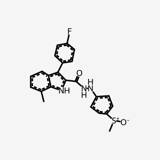 Cc1cccc2c(-c3ccc(F)cc3)c(C(=O)NNc3ccc([S+](C)[O-])cc3)[nH]c12